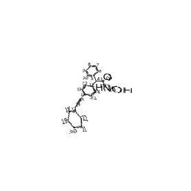 O=C(NO)C(c1ccccc1)c1ccc(C#CC2CCCCC2)cc1